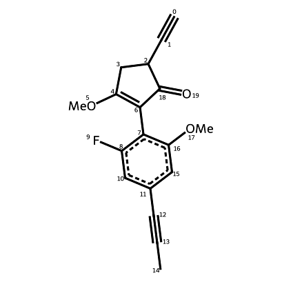 C#CC1CC(OC)=C(c2c(F)cc(C#CC)cc2OC)C1=O